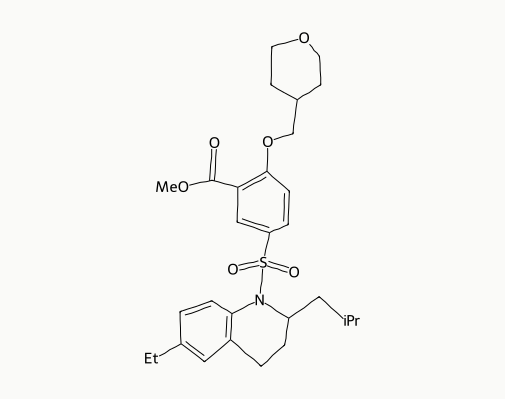 CCc1ccc2c(c1)CCC(CC(C)C)N2S(=O)(=O)c1ccc(OCC2CCOCC2)c(C(=O)OC)c1